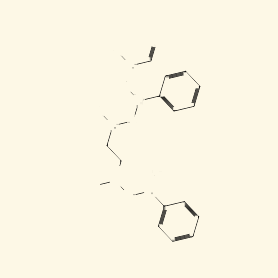 C=C[SiH](C)O[SiH](O[SiH](C)CC[SiH](C)O[SiH](O)c1ccccc1)c1ccccc1